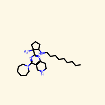 CCCCCCCCCNC1CCCC1(N)c1nc2c(c(N3CCCCCC3)n1)CNCC2